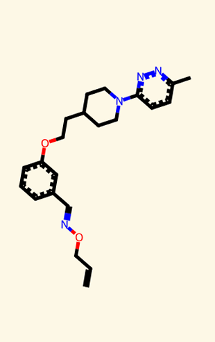 C=CCON=Cc1cccc(OCCC2CCN(c3ccc(C)nn3)CC2)c1